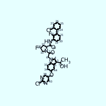 CC(O)c1cn(CC(=O)N2C[C@H](F)C[C@H]2C(=O)Nc2cccc(-c3ccccc3Cl)c2F)c2ccc(Oc3cnc(Cl)nc3)cc12